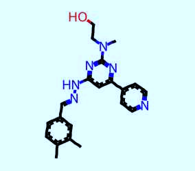 Cc1ccc(C=NNc2cc(-c3ccncc3)nc(N(C)CCO)n2)cc1C